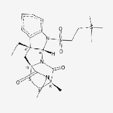 CC[C@]12C[C@@]34SS[C@@](C)(C(=O)N3[C@H]1N(S(=O)(=O)CCS(C)(C)C)c1ccccc12)N(C)C4=O